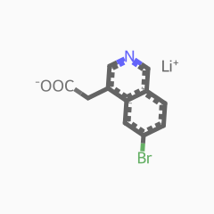 O=C([O-])Cc1cncc2ccc(Br)cc12.[Li+]